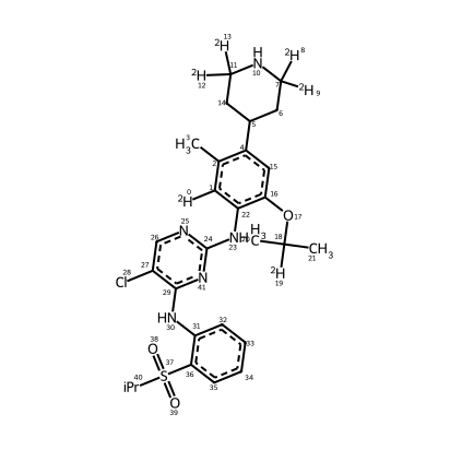 [2H]c1c(C)c(C2CC([2H])([2H])NC([2H])([2H])C2)cc(OC([2H])(C)C)c1Nc1ncc(Cl)c(Nc2ccccc2S(=O)(=O)C(C)C)n1